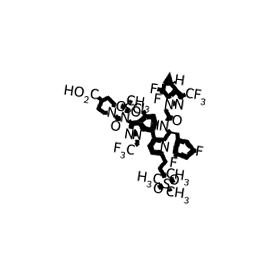 CC(C)(CCc1ccc(-c2ccc(Cl)c3c(N(C(=O)N4CCC(C(=O)O)CC4)S(C)(=O)=O)nn(CC(F)(F)F)c23)c([C@H](Cc2cc(F)cc(F)c2)NC(=O)Cn2nc(C(F)(F)F)c3c2C(F)(F)C2C[C@H]32)n1)S(C)(=O)=O